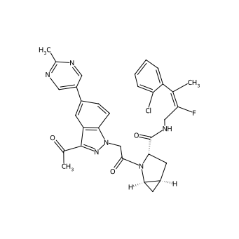 CC(=O)c1nn(CC(=O)N2[C@@H]3C[C@@H]3C[C@H]2C(=O)NC/C(F)=C(/C)c2ccccc2Cl)c2ccc(-c3cnc(C)nc3)cc12